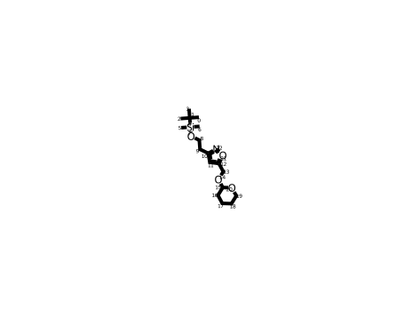 CC(C)(C)[Si](C)(C)OCCc1cc(COC2CCCCO2)on1